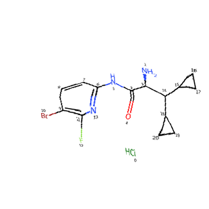 Cl.N[C@H](C(=O)Nc1ccc(Br)c(F)n1)C(C1CC1)C1CC1